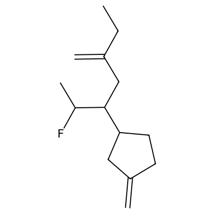 C=C1CCC(C(CC(=C)CC)C(C)F)C1